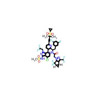 CC(C)(C#Cc1ccc(-c2ccc(Cl)c3c(NS(C)(=O)=O)nn(CC(F)F)c23)c(C(Cc2cc(F)cc(F)c2)NC(=O)Cn2nc(C(F)F)c3c2C(F)(F)[C@@H]2C[C@H]32)n1)S(=O)(=O)C1CC1